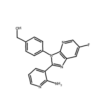 Nc1ncccc1-c1nc2cc(F)cnc2n1-c1ccc(CO)cc1